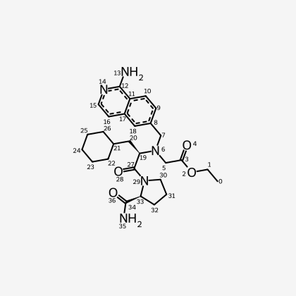 CCOC(=O)CN(Cc1ccc2c(N)nccc2c1)[C@H](CC1CCCCC1)C(=O)N1CCC[C@H]1C(N)=O